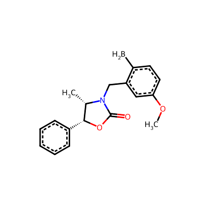 Bc1ccc(OC)cc1CN1C(=O)O[C@H](c2ccccc2)[C@@H]1C